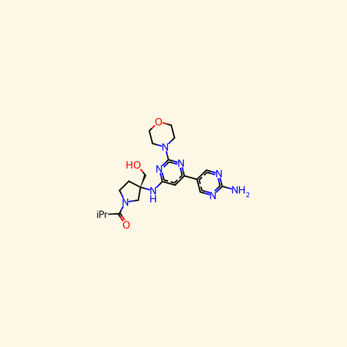 CC(C)C(=O)N1CC[C@](CO)(Nc2cc(-c3cnc(N)nc3)nc(N3CCOCC3)n2)C1